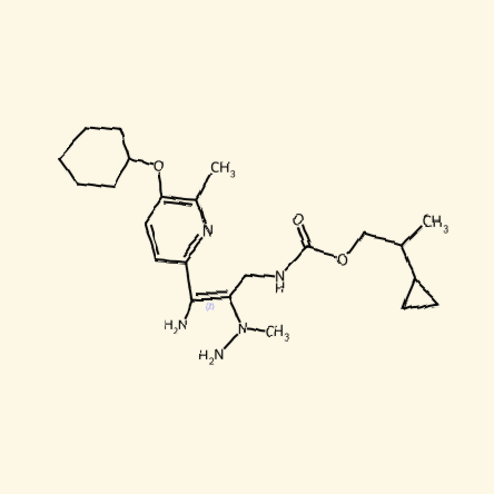 Cc1nc(/C(N)=C(\CNC(=O)OCC(C)C2CC2)N(C)N)ccc1OC1CCCCC1